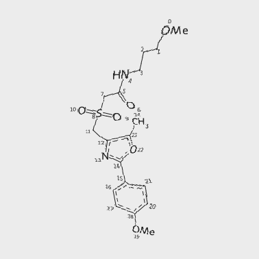 COCCCNC(=O)CS(=O)(=O)Cc1nc(-c2ccc(OC)cc2)oc1C